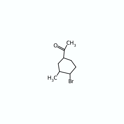 CC(=O)C1CCC(Br)C(C)C1